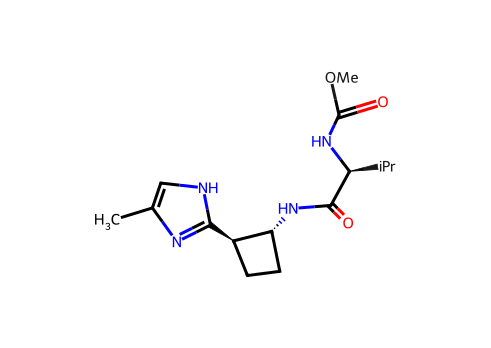 COC(=O)N[C@H](C(=O)N[C@@H]1CC[C@H]1c1nc(C)c[nH]1)C(C)C